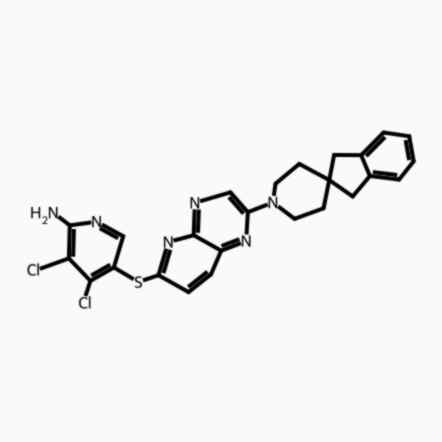 Nc1ncc(Sc2ccc3nc(N4CCC5(CC4)Cc4ccccc4C5)cnc3n2)c(Cl)c1Cl